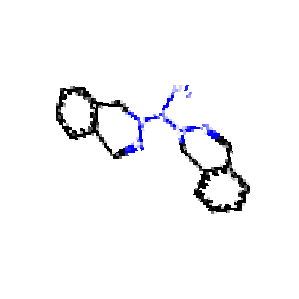 NN(N1Cc2ccccc2C=N1)N1Cc2ccccc2C=N1